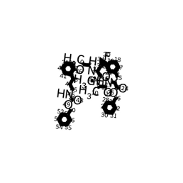 C[C@H](CN[C@H](C(=O)N(C)[C@H](C)C(=O)N[C@H](Cc1ccc(F)cc1)C(=O)OCc1ccccc1)C1CC1)Oc1ccccc1CCCNC(=O)OCc1ccccc1